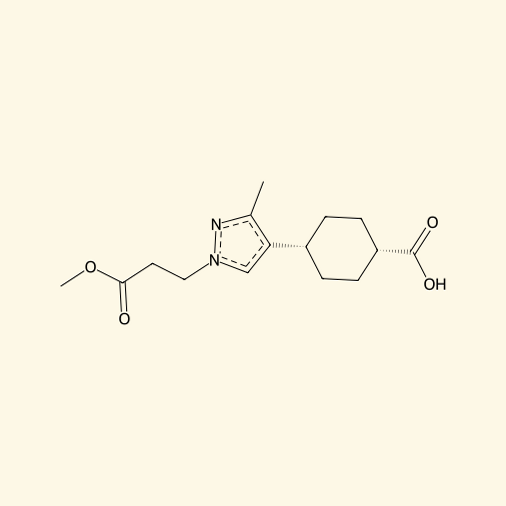 COC(=O)CCn1cc([C@H]2CC[C@@H](C(=O)O)CC2)c(C)n1